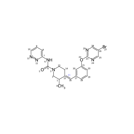 CC1CN(C(=O)Nc2cccnn2)CC/C1=C\c1cccc(Oc2ncc(Br)cn2)c1